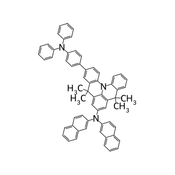 CC1(C)c2ccccc2N2c3ccc(-c4ccc(N(c5ccccc5)c5ccccc5)cc4)cc3C(C)(C)c3cc(N(c4ccc5ccccc5c4)c4ccc5ccccc5c4)cc1c32